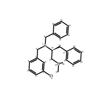 CCc1cccc(CN(Cc2ccccc2)[C@@H](Cc2ccccc2)CN(C)C)c1